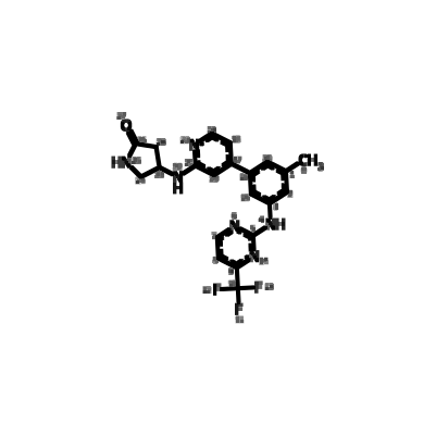 Cc1cc(Nc2nccc(C(F)(F)F)n2)cc(-c2ccnc(NC3CNC(=O)C3)c2)c1